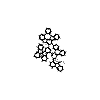 CC1(C)c2ccccc2-c2cccc(-c3nc(-c4ccccc4-c4ccc(-c5cc6sc7cccc8c9ccccc9n9c%10ccccc%10c5c9c6c78)cc4)nc(-c4cccc5c4-c4ccccc4C54c5ccccc5-c5ccccc54)n3)c21